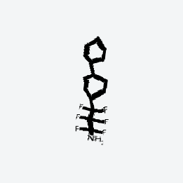 NC(F)(F)C(F)(F)C(F)(F)c1ccc(-c2ccccc2)cc1